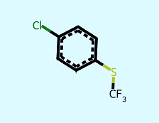 FC(F)(F)Sc1[c]cc(Cl)cc1